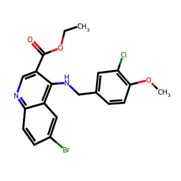 CCOC(=O)c1cnc2ccc(Br)cc2c1NCc1ccc(OC)c(Cl)c1